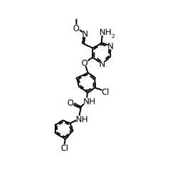 CON=Cc1c(N)ncnc1Oc1ccc(NC(=O)Nc2cccc(Cl)c2)c(Cl)c1